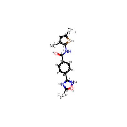 Cc1cc(C#N)c(NC(=O)c2ccc(-c3noc(C(F)(F)F)n3)cc2)s1